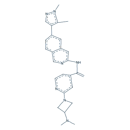 C=C(Nc1cc2cc(-c3cnn(C)c3C)ccc2cn1)c1ccnc(N2CC(N(C)C)C2)c1